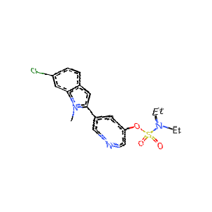 CCN(CC)S(=O)(=O)Oc1cncc(-c2cc3ccc(Cl)cc3n2C)c1